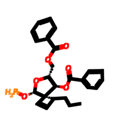 CCCC1C=C[C@]12[C@H](OP)O[C@H](COC(=O)c1ccccc1)[C@H]2OC(=O)c1ccccc1